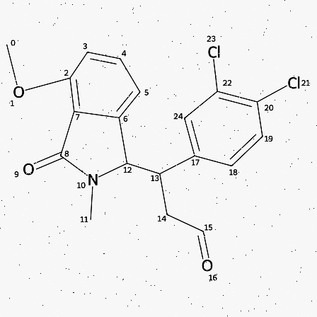 COc1cccc2c1C(=O)N(C)C2C(CC=O)c1ccc(Cl)c(Cl)c1